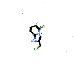 ClCc1cn2c(Cl)cccc2n1